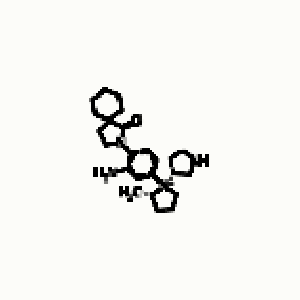 C[C@H]1CCC[N+]1(c1ccc(N2CCC3(CCCCC3)C2=O)c(N)c1)[C@@H]1CCNC1